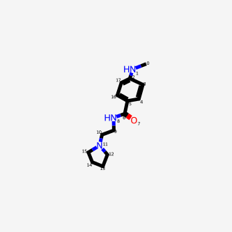 CNc1ccc(C(=O)NCCN2CCCC2)cc1